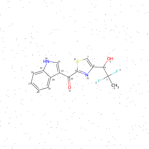 CC(F)(F)C(O)c1csc(C(=O)c2c[nH]c3ccccc23)n1